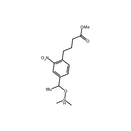 COC(=O)CCCc1ccc(C(O[SiH](C)C)C(C)(C)C)cc1[N+](=O)[O-]